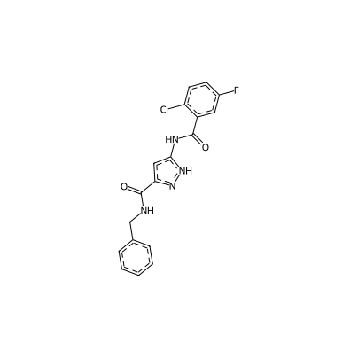 O=C(NCc1ccccc1)c1cc(NC(=O)c2cc(F)ccc2Cl)[nH]n1